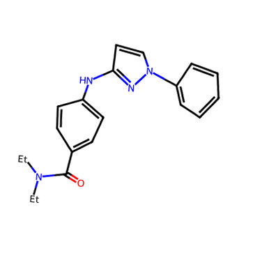 CCN(CC)C(=O)c1ccc(Nc2ccn(-c3ccccc3)n2)cc1